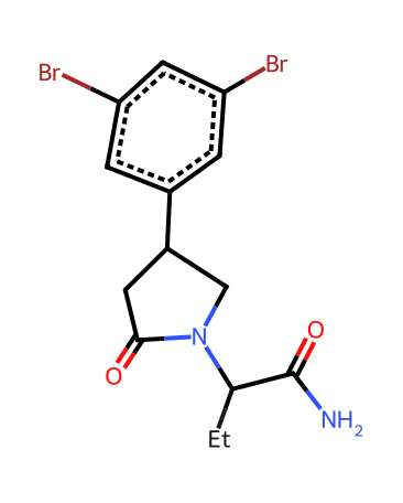 CCC(C(N)=O)N1CC(c2cc(Br)cc(Br)c2)CC1=O